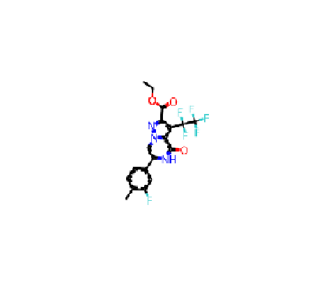 CCOC(=O)c1nn2cc(-c3ccc(C)c(F)c3)[nH]c(=O)c2c1C(F)(F)C(F)(F)F